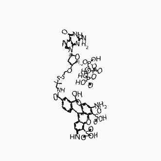 CC(C)(CNC(=O)c1ccc(-c2c3ccc(=N)c(S(=O)(=O)O)c-3oc3c(S(=O)(=O)O)c(N)ccc23)c(C(=O)O)c1)SSCOC1C[C@H](n2cnc3c(=O)[nH]c(N)nc32)O[C@@H]1COP(=O)(O)OP(=O)(O)OP(=O)(O)O